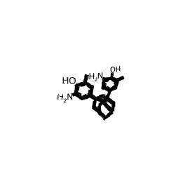 Cc1cc(C23CC4CC(C2)CC(c2cc(C)c(O)c(N)c2)(C4)C3)cc(N)c1O